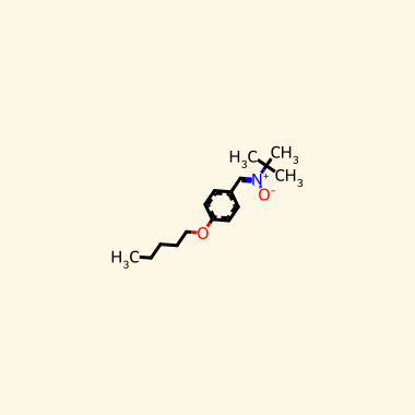 CCCCCOc1ccc(/C=[N+](\[O-])C(C)(C)C)cc1